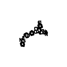 Clc1ccc([C@]2(Cn3ccnc3)OC[C@@H](COc3ccc(N4CCN(Cc5nc6ccccc6s5)CC4)cc3)O2)c(Cl)c1